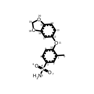 Cc1cc(S(N)(=O)=O)ccc1Oc1ccc2c(c1)OCO2